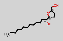 CCCCCCCCCCCC[C@@H](O)[C@H]1CC[C@H](CO)O1